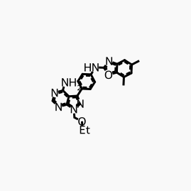 CCOCn1nc(-c2ccc(Nc3nc4cc(C)cc(C)c4o3)cc2)c2c(N)ncnc21